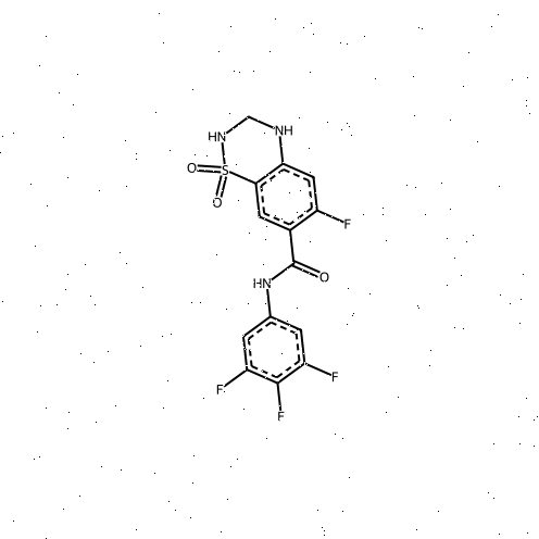 O=C(Nc1cc(F)c(F)c(F)c1)c1cc2c(cc1F)NCNS2(=O)=O